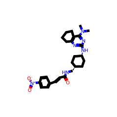 CN(C)c1nc(N[C@H]2CC[C@@H](CNC(=O)/C=C/c3ccc([N+](=O)[O-])cc3)CC2)nc2c1CCCC2